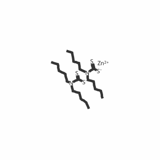 CCCCCN(CCCCC)C(=S)[S-].CCCCCN(CCCCC)C(=S)[S-].[Zn+2]